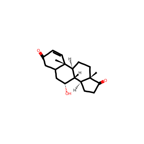 C[C@]12C=CC(=O)CC1C[C@@H](O)[C@@H]1[C@@H]2CC[C@]2(C)C(=O)CC[C@@H]12